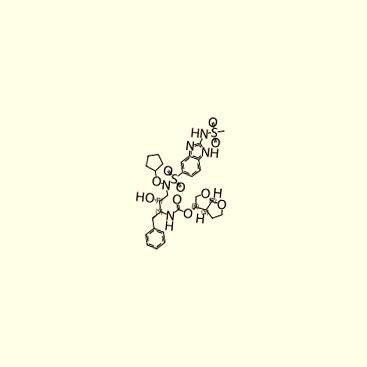 CS(=O)(=O)Nc1nc2cc(S(=O)(=O)N(C[C@@H](O)[C@H](Cc3ccccc3)NC(=O)O[C@H]3CO[C@H]4OCC[C@H]43)OC3CCCC3)ccc2[nH]1